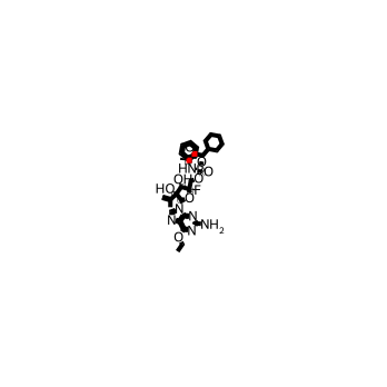 C=C(C)[C@]1(O)[C@H](n2cnc3c(OCC)nc(N)nc32)O[C@](F)(CO[P@](=O)(N[C@@H](C)C(=O)CC2CCCCC2)Oc2ccccc2)[C@H]1O